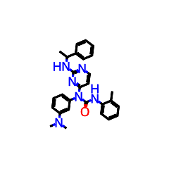 Cc1ccccc1NC(=O)N(c1cccc(N(C)C)c1)c1ccnc(NC(C)c2ccccc2)n1